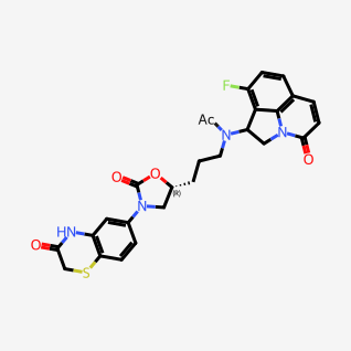 CC(=O)N(CCC[C@@H]1CN(c2ccc3c(c2)NC(=O)CS3)C(=O)O1)C1Cn2c(=O)ccc3ccc(F)c1c32